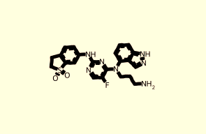 NCCCN(c1nc(Nc2ccc3c(c2)S(=O)(=O)CC3)ncc1F)c1cccc2[nH]ncc12